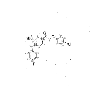 CCCC[C@@H]1CN(C(=O)COc2ccc(Cl)cc2)CCN1Cc1ccc(F)cc1